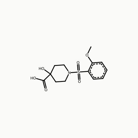 COc1ccccc1S(=O)(=O)N1CCC(O)(C(=O)O)CC1